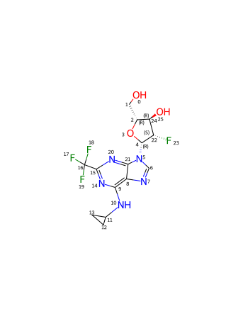 OC[C@H]1O[C@@H](n2cnc3c(NC4CC4)nc(C(F)(F)F)nc32)[C@@H](F)[C@@H]1O